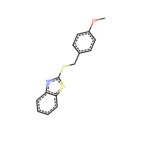 COc1ccc(CSc2nc3ccccc3s2)cc1